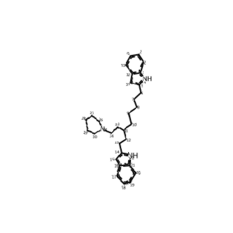 c1ccc2[nH]c(CCCCCC(CCc3cc4ccccc4[nH]3)CCN3CCCCC3)cc2c1